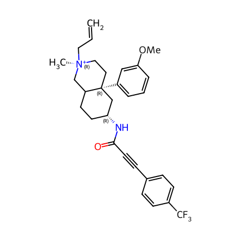 C=CC[N@@+]1(C)CC[C@@]2(c3cccc(OC)c3)C[C@H](NC(=O)C#Cc3ccc(C(F)(F)F)cc3)CCC2C1